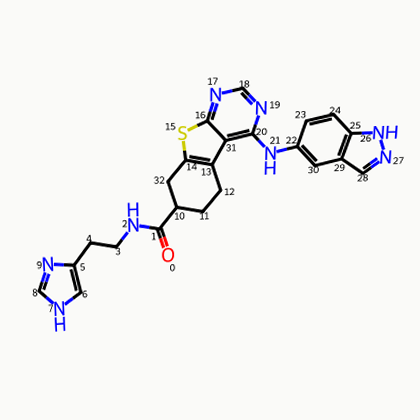 O=C(NCCc1c[nH]cn1)C1CCc2c(sc3ncnc(Nc4ccc5[nH]ncc5c4)c23)C1